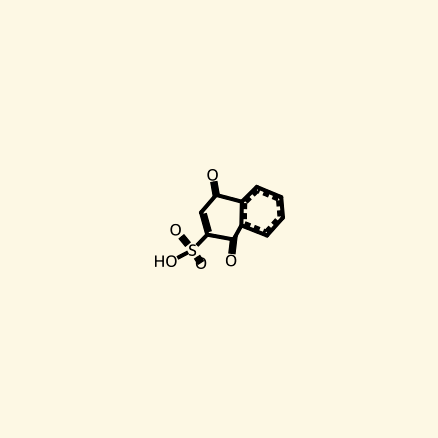 O=C1C=C(S(=O)(=O)O)C(=O)c2ccccc21